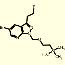 C[Si](C)(C)CCOCn1nc(CCF)c2cc(Br)cnc21